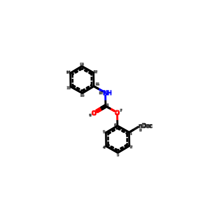 CCCCCCCCCCc1ccccc1OC(=O)Nc1ccccc1